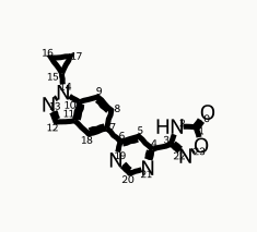 O=c1[nH]c(-c2cc(-c3ccc4c(cnn4C4CC4)c3)ncn2)no1